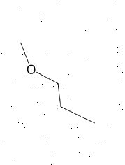 C[C]COC